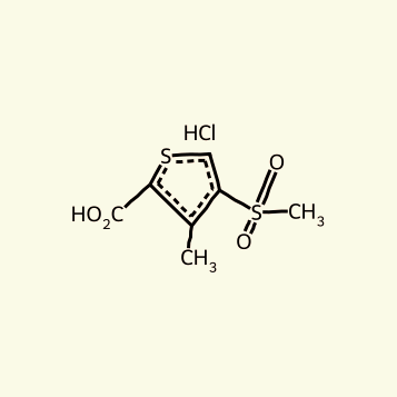 Cc1c(S(C)(=O)=O)csc1C(=O)O.Cl